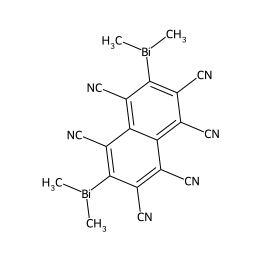 [CH3][Bi]([CH3])[c]1c(C#N)c(C#N)c2c(C#N)c(C#N)[c]([Bi]([CH3])[CH3])c(C#N)c2c1C#N